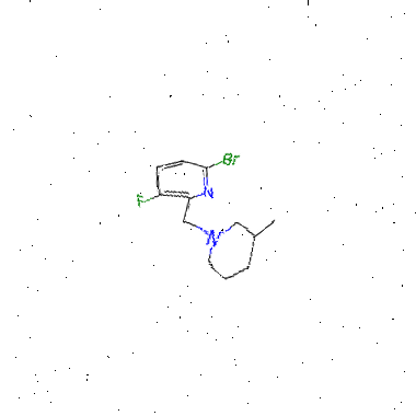 CC1CCCN(Cc2nc(Br)ccc2F)C1